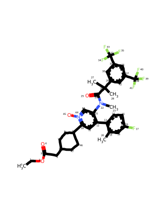 CCOC(=O)CC1CCC(c2cc(-c3ccc(F)cc3C)c(N(C)C(=O)C(C)(C)c3cc(C(F)(F)F)cc(C(F)(F)F)c3)c[n+]2[O-])CC1